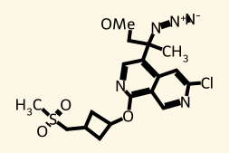 COCC(C)(N=[N+]=[N-])c1cnc(OC2CC(CS(C)(=O)=O)C2)c2cnc(Cl)cc12